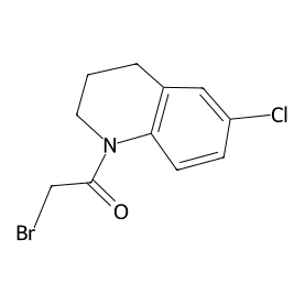 O=C(CBr)N1CCCc2cc(Cl)ccc21